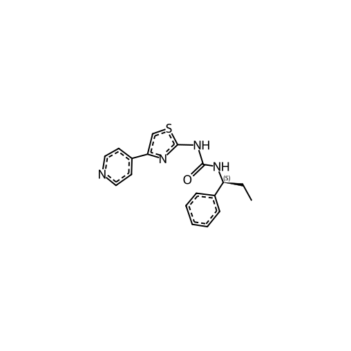 CC[C@H](NC(=O)Nc1nc(-c2ccncc2)cs1)c1ccccc1